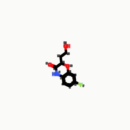 O=C1Nc2ccc(F)cc2OC1CCO